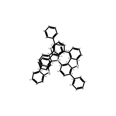 c1ccc(-c2nc(-c3ccccc3)nc(-c3cccc4oc5c(-c6ccccc6)ccc(-n6c7ccccc7c7ccc8c9ccccc9sc8c76)c5c34)n2)cc1